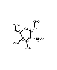 CC(=O)N[C@@H]1[C@@H](OC(C)=O)[C@@H](OC(C)=O)[C@@H](COC(C)=O)O[C@@H]1CC=O